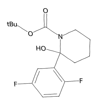 CC(C)(C)OC(=O)N1CCCCC1(O)c1cc(F)ccc1F